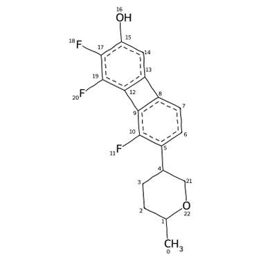 CC1CCC(c2ccc3c(c2F)-c2c-3cc(O)c(F)c2F)CO1